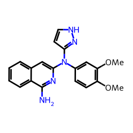 COc1ccc(N(c2cc[nH]n2)c2cc3ccccc3c(N)n2)cc1OC